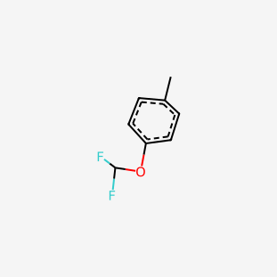 Cc1ccc(OC(F)F)cc1